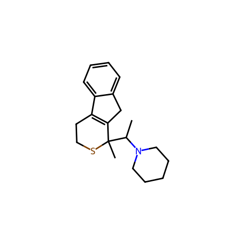 CC(N1CCCCC1)C1(C)SCCC2=C1Cc1ccccc12